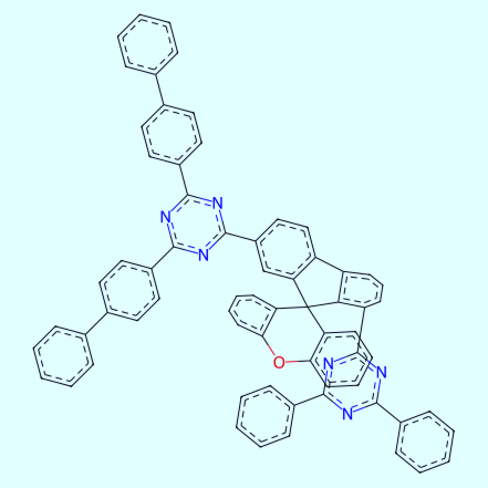 c1ccc(-c2ccc(-c3nc(-c4ccc(-c5ccccc5)cc4)nc(-c4ccc5c(c4)C4(c6ccccc6Oc6ccccc64)c4c(-c6nc(-c7ccccc7)nc(-c7ccccc7)n6)cccc4-5)n3)cc2)cc1